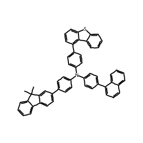 CC1(C)c2ccccc2-c2ccc(-c3ccc(N(c4ccc(-c5cccc6ccccc56)cc4)c4ccc(-c5cccc6sc7ccccc7c56)cc4)cc3)cc21